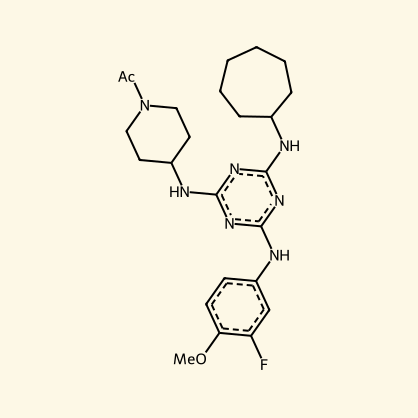 COc1ccc(Nc2nc(NC3CCCCCC3)nc(NC3CCN(C(C)=O)CC3)n2)cc1F